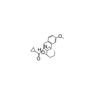 COc1ccc2c(c1)[C@@]13CCCC4O[C@@]41[C@@H](C2)N(C(=O)C1CC1)CC3